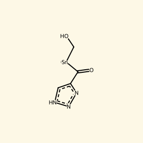 O=[C]([Sn][CH2]O)c1c[nH]nn1